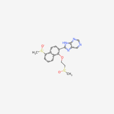 C[S+]([O-])CCOc1c(-c2nc3cncnc3[nH]2)ccc2c([S+](C)[O-])cccc12